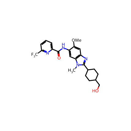 COc1cc2nc(C3CCC(CO)CC3)n(C)c2cc1NC(=O)c1cccc(C(F)(F)F)n1